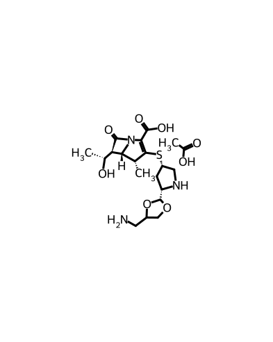 CC(=O)O.C[C@@H](O)[C@H]1C(=O)N2C(C(=O)O)=C(S[C@@H]3CN[C@H](C4OCC(CN)O4)C3)[C@H](C)[C@H]12